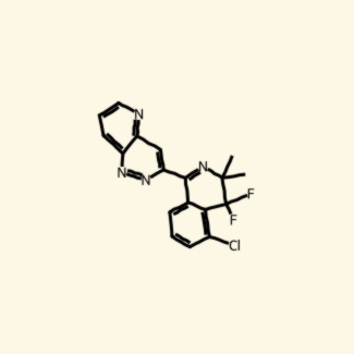 CC1(C)N=C(c2cc3ncccc3nn2)c2cccc(Cl)c2C1(F)F